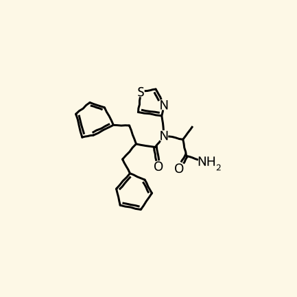 CC(C(N)=O)N(C(=O)C(Cc1ccccc1)Cc1ccccc1)c1cscn1